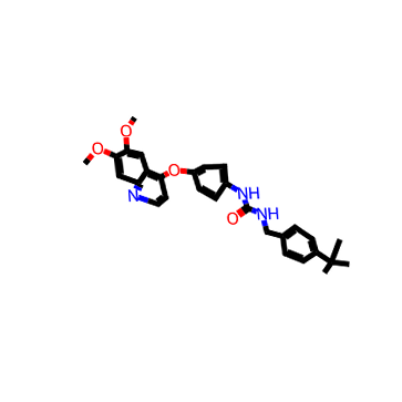 COc1cc2nccc(Oc3ccc(NC(=O)NCc4ccc(C(C)(C)C)cc4)cc3)c2cc1OC